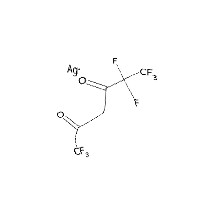 O=C(CC(=O)C(F)(F)C(F)(F)F)C(F)(F)F.[Ag]